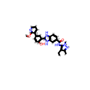 CCc1c(C)nn(C)c1NC(=O)c1ccc2c(c1)NC(c1cc(-c3cccnc3OC)ccc1O)N2